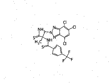 CC(Cn1nc2c(Cl)cc(Cl)c(Cl)c2n1)(NC(=S)c1ccc(C(F)(F)F)cc1)C(N)=S